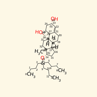 CCCC[Si](CCCC)(CCCC)O[C@H]1CC[C@H]2[C@@H]3CCC4=C[C@@H](O)CC[C@]4(CO)[C@H]3CC[C@]12C